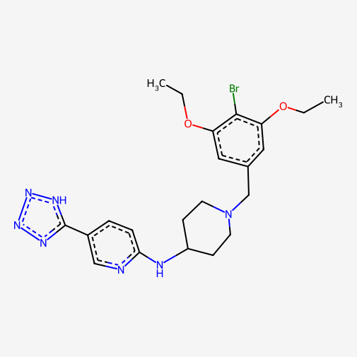 CCOc1cc(CN2CCC(Nc3ccc(-c4nnn[nH]4)cn3)CC2)cc(OCC)c1Br